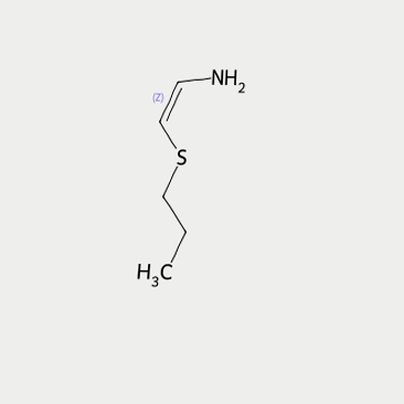 CCCS/C=C\N